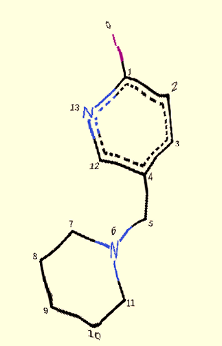 Ic1ccc(CN2CCCCC2)cn1